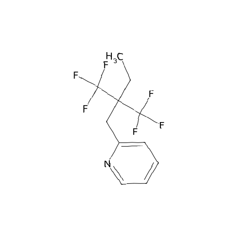 CCC(Cc1ccccn1)(C(F)(F)F)C(F)(F)F